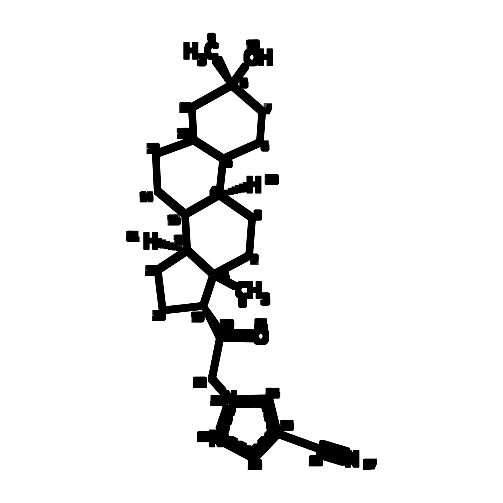 CC12CC[C@@H]3C4CC[C@@](C)(O)CC4CCC3[C@@H]1CC[C@@H]2C(=O)Cn1cc(C#N)cn1